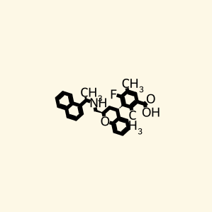 Cc1cc(C(=O)O)c(C)c([C@H]2C[C@H](CN[C@H](C)c3cccc4ccccc34)Oc3ccccc32)c1F